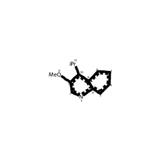 COc1cnc2ccccc2c1C(C)C